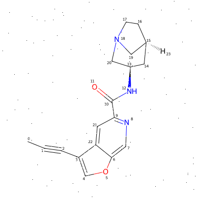 CC#Cc1coc2cnc(C(=O)N[C@@H]3C[C@@H]4CCN(C4)C3)cc12